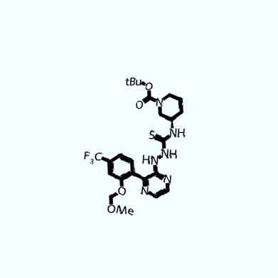 COCOc1cc(C(F)(F)F)ccc1-c1nccnc1NNC(=S)N[C@@H]1CCCN(C(=O)OC(C)(C)C)C1